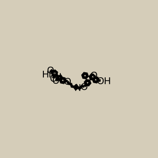 O=C1CCC(N2Cc3cc(OCCCC4CN(CCOc5ccc([C@@H]6c7ccc(O)cc7OC[C@@H]6c6ccccc6)cc5)C4)ccc3C2=O)C(=O)N1